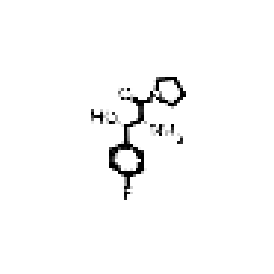 N[C@@H](C(=O)N1CCCC1)[C@@H](O)c1ccc(F)cc1